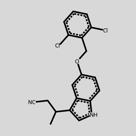 CC(CC#N)c1c[nH]c2ccc(OCc3c(Cl)cccc3Cl)cc12